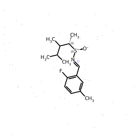 Cc1ccc(F)c(/C=N/[S@+]([O-])[C@@H](C)C(C)C(C)C)c1